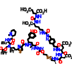 CCCC(=O)OCN(C(=O)[C@@H](NC(=O)[C@H]1CCCCN1C)C(C)CC)[C@H](CCc1nc(C(=O)N[C@@H](Cc2ccc(O)cc2)C[C@H](C)C(=O)NNC(=O)OCCSSC[C@@H](C)NC(=O)[C@H](CC(=O)O)NC(=O)[C@H](CCC(=O)O)NC(=O)Cc2ccc(CNC(=O)NCCCC[C@H](NC(=O)N[C@@H](CCC(=O)O)C(=O)O)C(=O)O)cc2)cs1)C(C)C